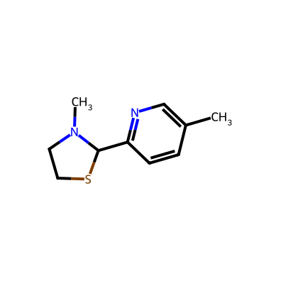 Cc1ccc(C2SCCN2C)nc1